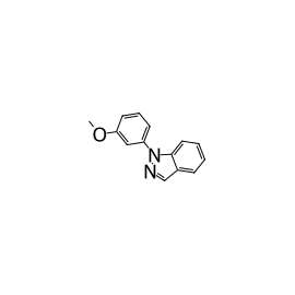 COc1cccc(-n2ncc3ccccc32)c1